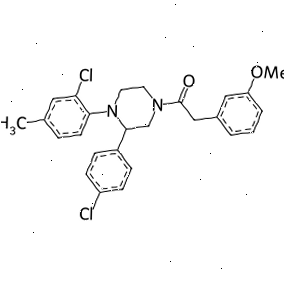 COc1cccc(CC(=O)N2CCN(c3ccc(C)cc3Cl)C(c3ccc(Cl)cc3)C2)c1